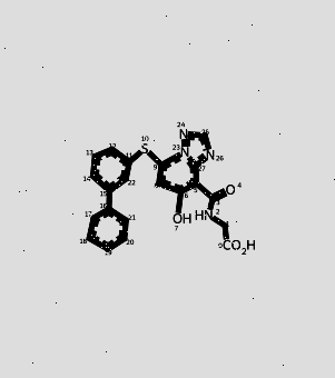 O=C(O)CNC(=O)c1c(O)cc(Sc2cccc(-c3ccccc3)c2)n2ncnc12